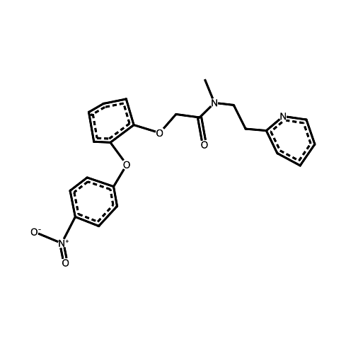 CN(CCc1ccccn1)C(=O)COc1ccccc1Oc1ccc([N+](=O)[O-])cc1